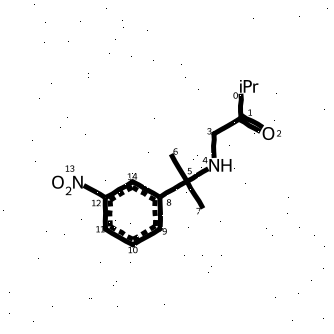 CC(C)C(=O)CNC(C)(C)c1cccc([N+](=O)[O-])c1